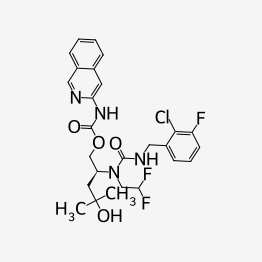 CC(C)(O)C[C@@H](COC(=O)Nc1cc2ccccc2cn1)N(CC(F)F)C(=O)NCc1cccc(F)c1Cl